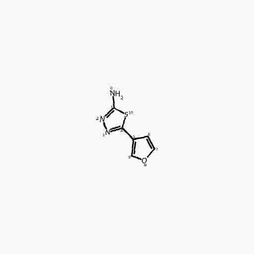 Nc1nnc(-c2ccoc2)s1